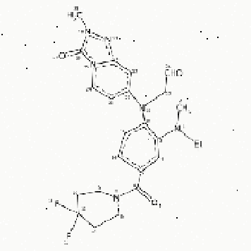 CCN(C)c1cc(C(=O)N2CCC(F)(F)CC2)ccc1N(CC=O)c1ccn2c(=O)n(C)nc2c1